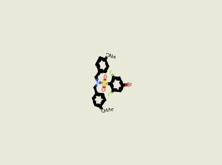 COc1ccc(CN(Cc2ccc(OC)cc2)S(=O)(=O)c2c(F)cc(Br)cc2F)cc1